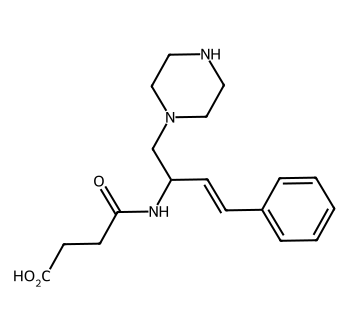 O=C(O)CCC(=O)NC(/C=C/c1ccccc1)CN1CCNCC1